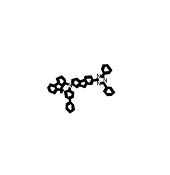 CC1(C)c2ccccc2-c2cccc(N(c3ccc(-c4ccccc4)cc3)c3ccc4c(c3)Cc3cc(-c5nc(-c6ccccc6)nc(-c6ccccc6)n5)ccc3-4)c21